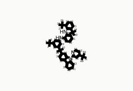 CC(C)(C)c1cc(Nc2ccccc2Nc2c(C(C)(C)C)cccc2C(C)(C)C)cc(C(C)(C)c2ccc3c4ccccc4n(-c4cc(C(C)(C)C)ccn4)c3c2)c1